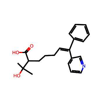 CC(C)(O)C(CCCC=C(c1ccccc1)c1cccnc1)C(=O)O